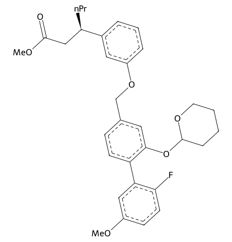 CCC[C@H](CC(=O)OC)c1cccc(OCc2ccc(-c3cc(OC)ccc3F)c(OC3CCCCO3)c2)c1